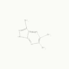 Bc1nc2[nH]nc(B)c2nc1B